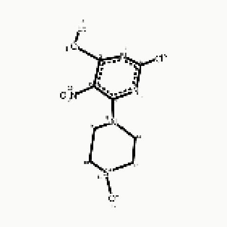 CCOc1nc(Cl)nc(N2CC[S+]([O-])CC2)c1[N+](=O)[O-]